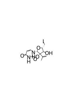 C=C(C)[C@@]1(O)[C@H](O)[C@@H](CI)O[C@H]1n1ccc(=O)[nH]c1=O